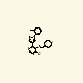 Fc1ccccc1-n1cc(-c2ncnc(Cl)c2OCC2CCNCC2)cn1